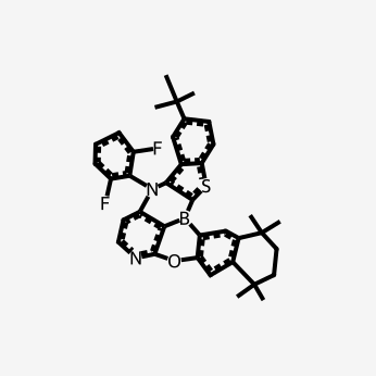 CC(C)(C)c1ccc2sc3c(c2c1)N(c1c(F)cccc1F)c1ccnc2c1B3c1cc3c(cc1O2)C(C)(C)CCC3(C)C